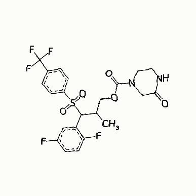 CC(COC(=O)N1CCNC(=O)C1)C(c1cc(F)ccc1F)S(=O)(=O)c1ccc(C(F)(F)F)cc1